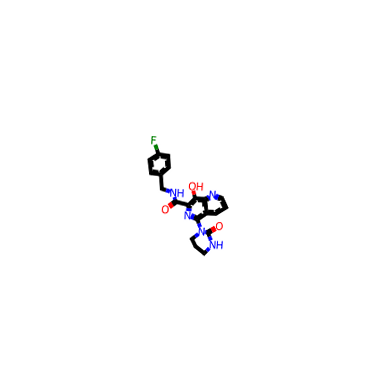 O=C(NCc1ccc(F)cc1)c1nc(N2CCCNC2=O)c2cccnc2c1O